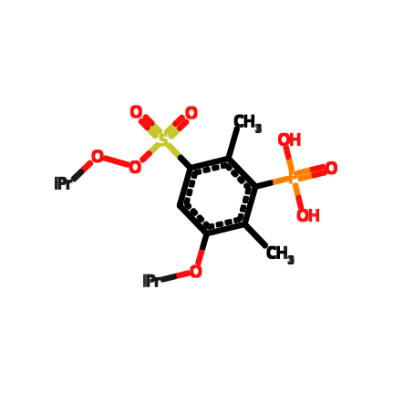 Cc1c(OC(C)C)cc(S(=O)(=O)OOC(C)C)c(C)c1P(=O)(O)O